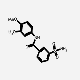 COc1ccc(NC(=O)c2cccc(S(N)(=O)=O)c2)cc1C